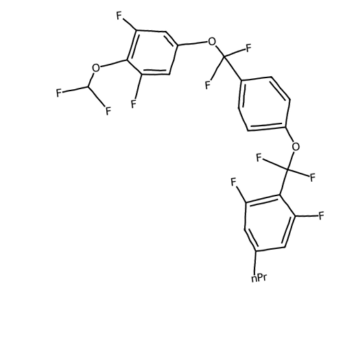 CCCc1cc(F)c(C(F)(F)Oc2ccc(C(F)(F)Oc3cc(F)c(OC(F)F)c(F)c3)cc2)c(F)c1